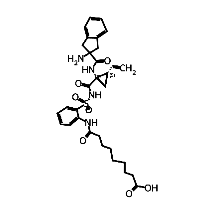 C=C[C@@H]1C[C@@]1(NC(=O)C1(N)Cc2ccccc2C1)C(=O)NS(=O)(=O)c1ccccc1NC(=O)CCCCCCCC(=O)O